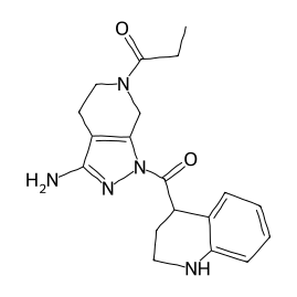 CCC(=O)N1CCc2c(N)nn(C(=O)C3CCNc4ccccc43)c2C1